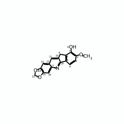 COc1ccc2c(c1O)Cc1cc3cc4c(cc3nc1-2)OCO4